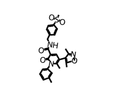 Cc1cccc(-n2c(C)c(-c3c(C)noc3C)cc(C(=O)NCc3ccc(S(C)(=O)=O)cc3)c2=O)c1